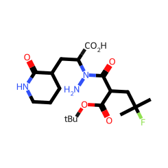 CC(C)(F)CC(C(=O)OC(C)(C)C)C(=O)N(N)C(CC1CCCNC1=O)C(=O)O